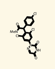 CNC(=O)C(c1ccc(Cl)cc1)c1c(Cl)cc(-n2ncc(=O)[nH]c2=O)cc1Cl